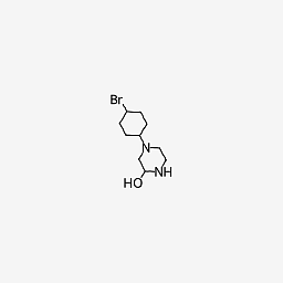 OC1CN(C2CCC(Br)CC2)CCN1